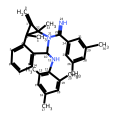 C=C1C2(C)c3ccccc3C(Nc3c(C)cc(C)cc3C)N(C(=N)c3cc(C)cc(C)c3)C12C